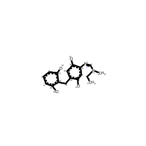 CCN(C)/C=N\c1cc(Cl)c(Cc2c(Cl)cccc2Cl)cc1Cl